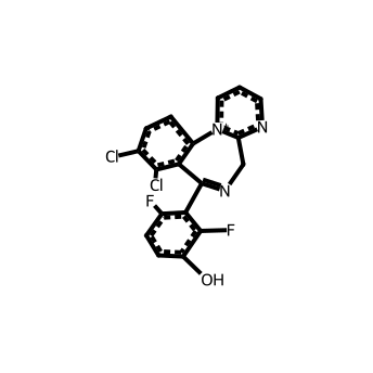 Oc1ccc(F)c(C2=NCc3nccc[n+]3-c3ccc(Cl)c(Cl)c32)c1F